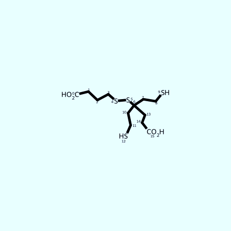 O=C(O)CCCSSC(CCS)(CCS)CCC(=O)O